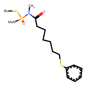 CCC(C)SP(=O)(NC)N(C)C(=O)CCCCCCSc1ccccc1